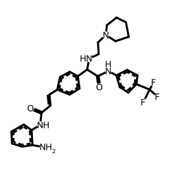 Nc1ccccc1NC(=O)C=Cc1ccc(C(NCCN2CCCCC2)C(=O)Nc2ccc(C(F)(F)F)cc2)cc1